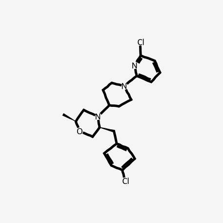 C[C@H]1CN(C2CCN(c3cccc(Cl)n3)CC2)[C@@H](Cc2ccc(Cl)cc2)CO1